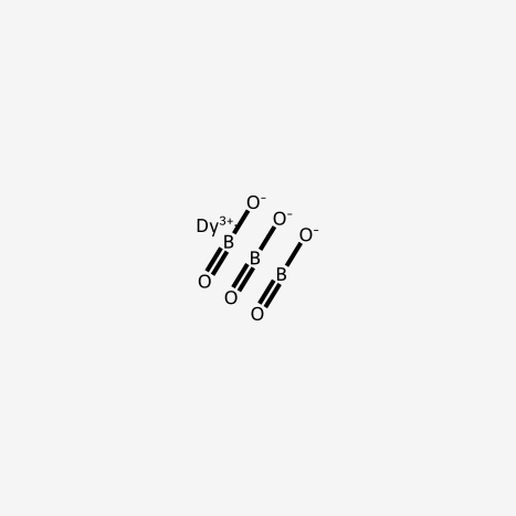 O=B[O-].O=B[O-].O=B[O-].[Dy+3]